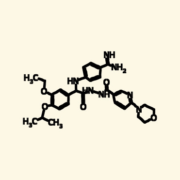 CCOc1cc(C(Nc2ccc(C(=N)N)cc2)C(=O)NNC(=O)c2ccc(N3CCOCC3)nc2)ccc1OC(C)C